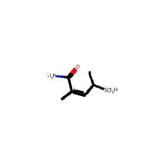 CC(=CC(C)S(=O)(=O)O)C(N)=O